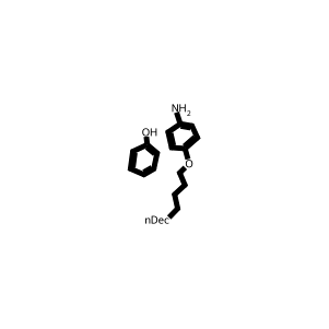 CCCCCCCCCCCCCCOc1ccc(N)cc1.Oc1ccccc1